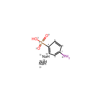 O=S(=O)(O)c1ccc(P)cc1.[NaH].[NaH].[NaH]